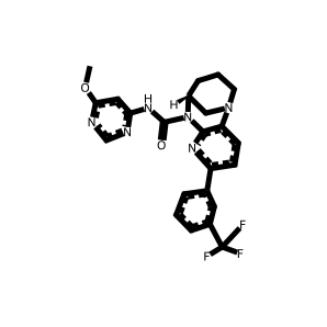 COc1cc(NC(=O)N2c3nc(-c4cccc(C(F)(F)F)c4)ccc3N3CCC[C@@H]2C3)ncn1